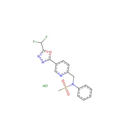 CS(=O)(=O)N(Cc1ccc(-c2nnc(C(F)F)o2)cn1)c1ccccc1.Cl